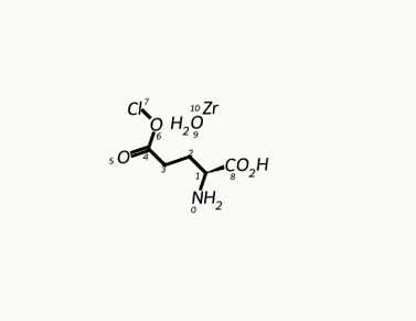 N[C@@H](CCC(=O)OCl)C(=O)O.O.[Zr]